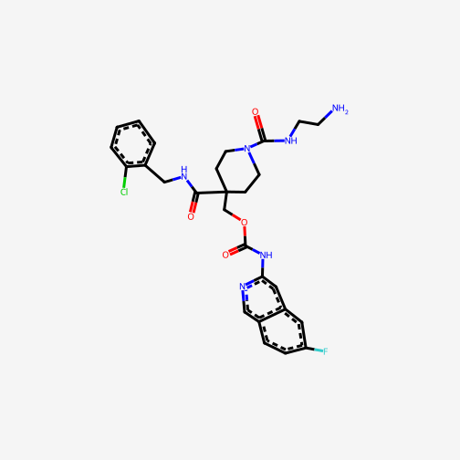 NCCNC(=O)N1CCC(COC(=O)Nc2cc3cc(F)ccc3cn2)(C(=O)NCc2ccccc2Cl)CC1